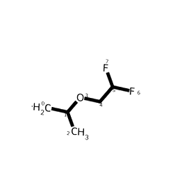 [CH2]C(C)OCC(F)F